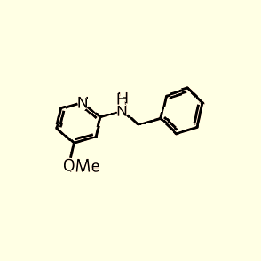 COc1ccnc(NCc2ccccc2)c1